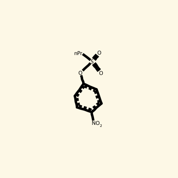 CCCS(=O)(=O)Oc1ccc([N+](=O)[O-])cc1